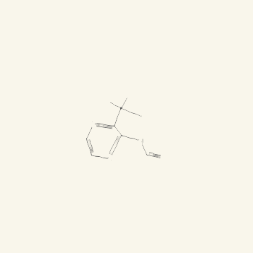 O=CNc1nccnc1C(F)(F)F